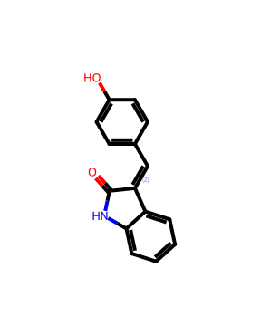 O=C1Nc2ccccc2/C1=C/c1ccc(O)cc1